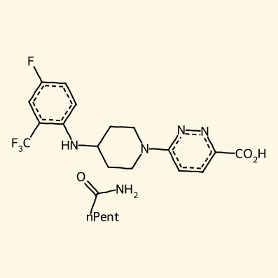 CCCCCC(N)=O.O=C(O)c1ccc(N2CCC(Nc3ccc(F)cc3C(F)(F)F)CC2)nn1